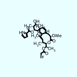 CO[C@H]1C[C@H]2C=C[C@@H]3C[C@]2(O[C@H]3[C@H](OC(=O)c2ccc[nH]2)[C@H](C)[C@H](C)O)/C(C)=C/[C@@H](C)[C@@H]([C@@H](C)OC(=O)CBr)OC1=O